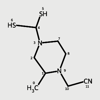 CC1CN(C(S)S)CCN1CC#N